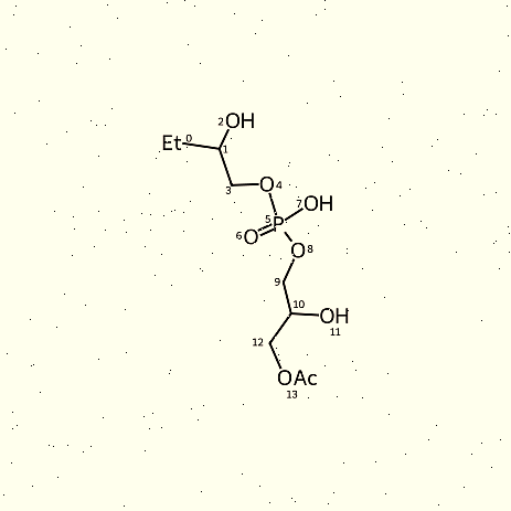 CCC(O)COP(=O)(O)OCC(O)COC(C)=O